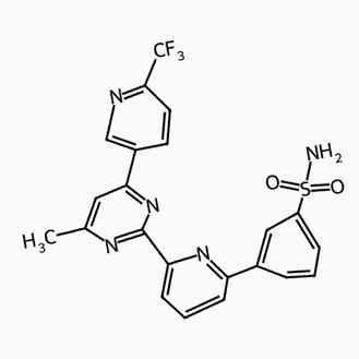 Cc1cc(-c2ccc(C(F)(F)F)nc2)nc(-c2cccc(-c3cccc(S(N)(=O)=O)c3)n2)n1